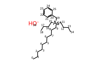 CCCCCCCCCC[As+](CCCC)(CCCC)Cc1ccccc1.[OH-]